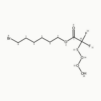 O=C(OCCCCCCBr)C(F)(F)SOOO